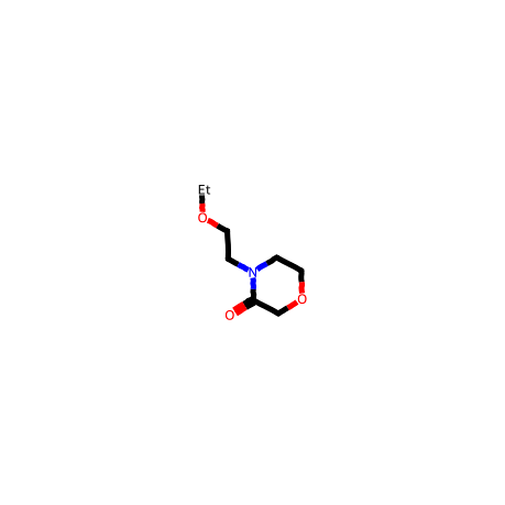 CCOCCN1CCOCC1=O